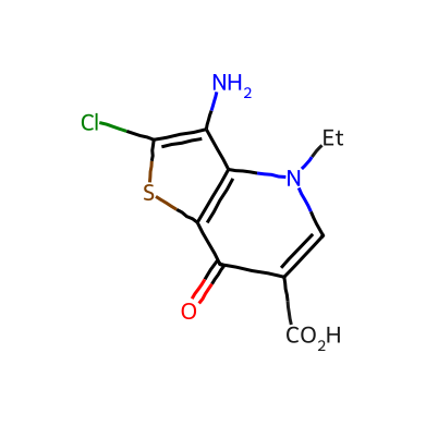 CCn1cc(C(=O)O)c(=O)c2sc(Cl)c(N)c21